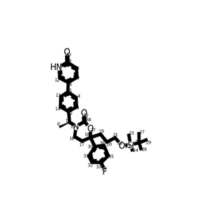 C[C@@H](c1ccc(-c2ccc(=O)[nH]c2)cc1)N1CCC(CCCO[Si](C)(C)C(C)(C)C)(c2ccc(F)cc2)OC1=O